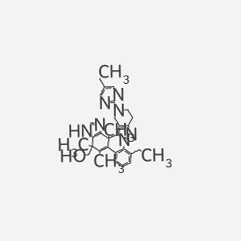 CCc1cnc(N2CCc3nn4c(c3C2)C2(C)C(=C(C)C(C)(CO)c3[nH]cnc32)c2cccc(CC)c2-4)nc1